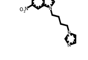 O=[N+]([O-])c1ccc2ccn(CCCCn3ccnc3)c2c1